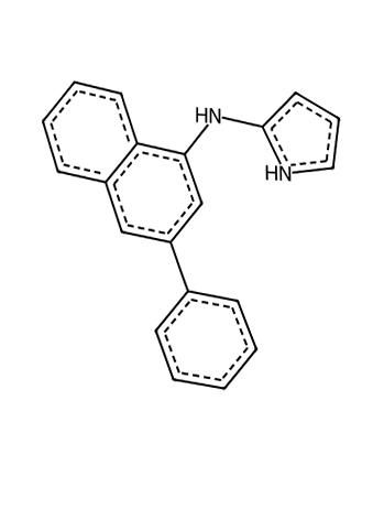 c1ccc(-c2cc(Nc3ccc[nH]3)c3ccccc3c2)cc1